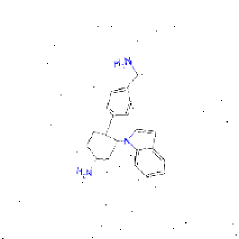 NCc1ccc(C2CCC(N)CC2n2ccc3ccccc32)cc1